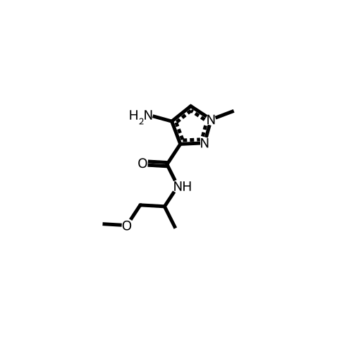 COCC(C)NC(=O)c1nn(C)cc1N